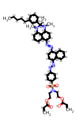 C=CC(=O)OCCN(CCOC(=O)C=C)S(=O)(=O)c1ccc(/N=N/c2ccc(/N=N/c3ccc4c5c(cccc35)N(C)C(C)(c3cccc(CCCCC)c3)N4C)c3ccccc23)cc1